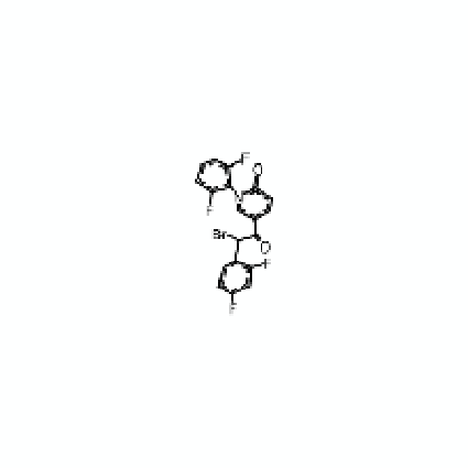 O=C(c1ccc(=O)n(-c2c(F)cccc2F)c1)C(Br)c1ccc(F)cc1F